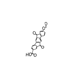 O=COc1ccc2c(c1)c(=O)c1cc3c(cc12)c(=O)c1cc(C(=O)O)ccc13